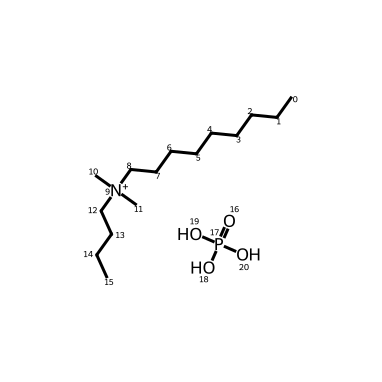 CCCCCCCCC[N+](C)(C)CCCC.O=P(O)(O)O